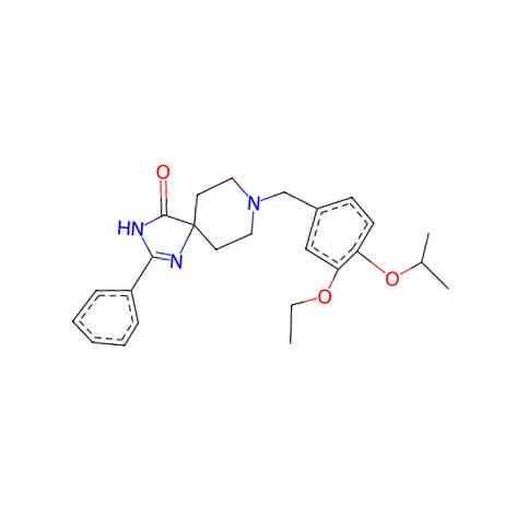 CCOc1cc(CN2CCC3(CC2)N=C(c2ccccc2)NC3=O)ccc1OC(C)C